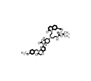 COc1ccc(CN2C(=O)COc3ccc(N4C(=O)O[C@@H]5C[C@@H](N(CCNC(=O)OC(C)(C)C)CCn6c(=O)ccc7ccc(C#N)cc76)CC[C@@H]54)nc32)cc1